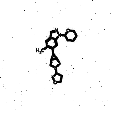 Cc1cc2cnn(C3CCCCO3)c2cc1C1C2CN(C3CCOC3)CC21